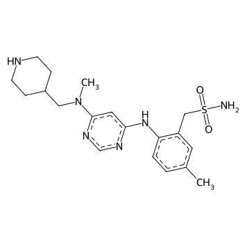 Cc1ccc(Nc2cc(N(C)CC3CCNCC3)ncn2)c(CS(N)(=O)=O)c1